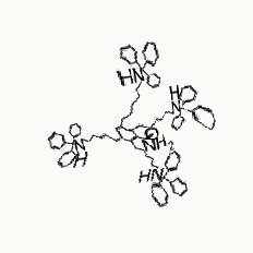 NC(=O)c1c(CCCCCCNC(c2ccccc2)(c2ccccc2)c2ccccc2)c(CCCCCCNC(c2ccccc2)(c2ccccc2)c2ccccc2)cc(CCCCCCNC(c2ccccc2)(c2ccccc2)c2ccccc2)c1CCCCCCNC(c1ccccc1)(c1ccccc1)c1ccccc1